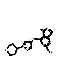 CC(C)c1nc(Nc2cnn(C3CCOCC3)c2)c2[nH]ncc2n1